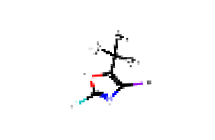 CC(C)(C)c1oc(F)nc1I